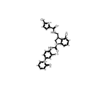 O=C(NCC1CN(C(=O)Nc2ccc(-n3ccccc3=O)cc2F)c2cccc(Cl)c21)c1ccc(Cl)s1